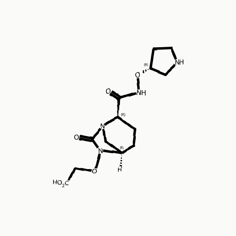 O=C(O)CON1C(=O)N2C[C@H]1CC[C@@H]2C(=O)NO[C@@H]1CCNC1